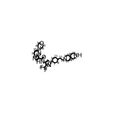 O=C(Nc1cn(C2CCC(CCN3CCC4(CCNCC4)CC3)CC2)nc1C(F)F)c1cnn2ccc(N3CCOCC3)nc12